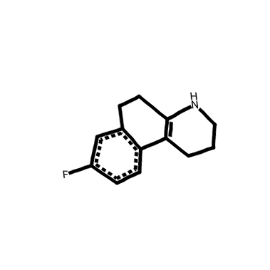 Fc1ccc2c(c1)CCC1=C2CCCN1